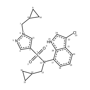 O=S(=O)(c1cnn(CC2CC2)c1)N(CC1CC1)c1cccc2c(Cl)c[nH]c12